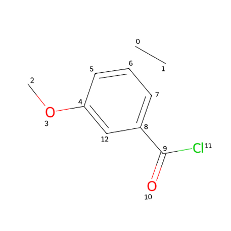 CC.COc1cccc(C(=O)Cl)c1